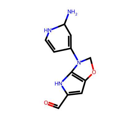 NC1C=C(N2COc3cc(C=O)[nH]c32)C=CN1